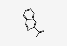 C=C(C)c1cc2ccccc2cn1